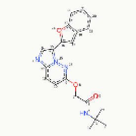 CC(C)(C)NC(=O)COc1ccc2ncc(-c3cc4ccccc4o3)n2n1